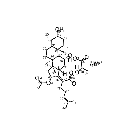 CC(=O)O[C@H]1C[C@@]2(C)[C@H](C[C@@H](O)C3[C@@]4(C)CC[C@@H](O)[C@@H](C)C4CC[C@@]32C)C1=C(CCC=C(C)C)C(=O)[O-].CC(O)C(=O)[O-].[Na+].[Na+]